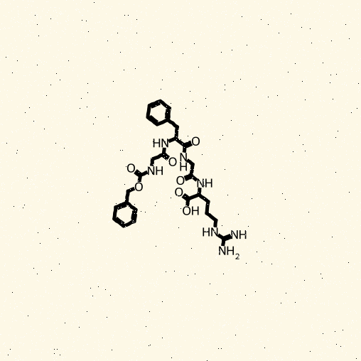 N=C(N)NCCCC(NC(=O)CNC(=O)C(Cc1ccccc1)NC(=O)CNC(=O)OCc1ccccc1)C(=O)O